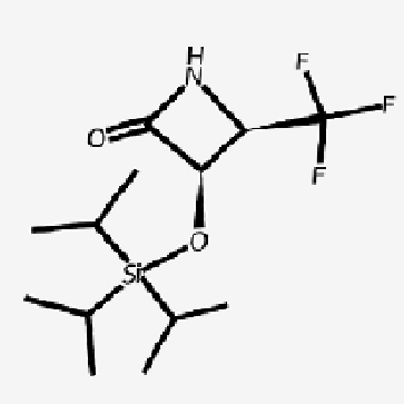 CC(C)[Si](O[C@H]1C(=O)N[C@H]1C(F)(F)F)(C(C)C)C(C)C